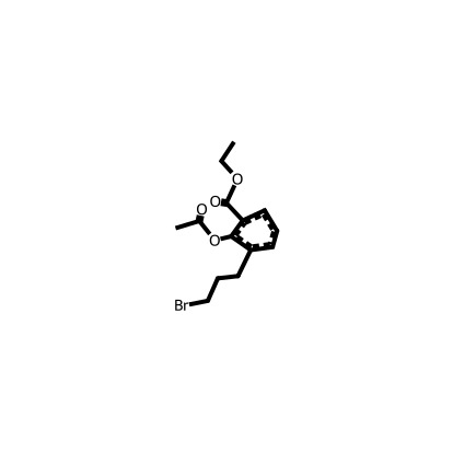 CCOC(=O)c1cccc(CCCBr)c1OC(C)=O